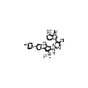 CC.CC(C)Oc1cc(N2CCC(N3CCN(C)CC3)CC2)c(Cl)cc1Nc1ncc(Cl)c(-c2cn(S(=O)(=O)O)c3ccccc23)n1